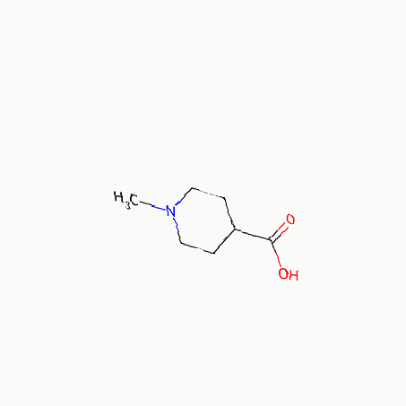 CN1CC[C](C(=O)O)CC1